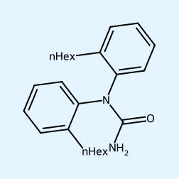 CCCCCCc1ccccc1N(C(N)=O)c1ccccc1CCCCCC